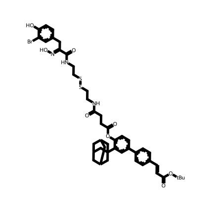 CC(C)(C)OC(=O)C=Cc1ccc(-c2ccc(OC(=O)CCC(=O)NCCSSCCNC(=O)C(Cc3ccc(O)c(Br)c3)=NO)c(C34CC5CC(CC(C5)C3)C4)c2)cc1